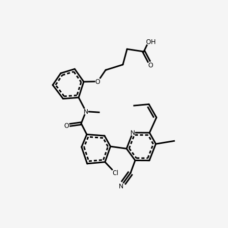 C/C=C\c1nc(-c2cc(C(=O)N(C)c3ccccc3OCCCC(=O)O)ccc2Cl)c(C#N)cc1C